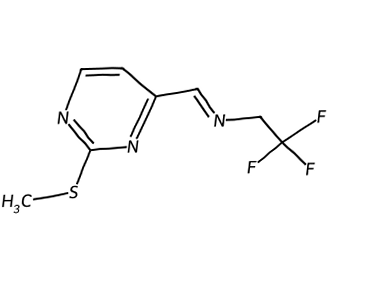 CSc1nccc(C=NCC(F)(F)F)n1